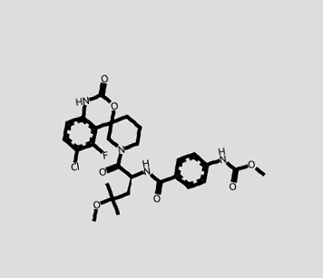 COC(=O)Nc1ccc(C(=O)N[C@@H](CC(C)(C)OC)C(=O)N2CCCC3(C2)OC(=O)Nc2ccc(Cl)c(F)c23)cc1